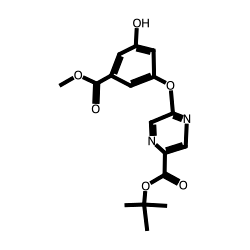 COC(=O)c1cc(O)cc(Oc2cnc(C(=O)OC(C)(C)C)cn2)c1